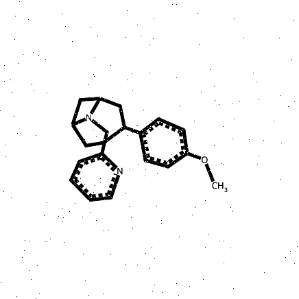 COc1ccc(C2CCC3CC(C2)N3Cc2ccccn2)cc1